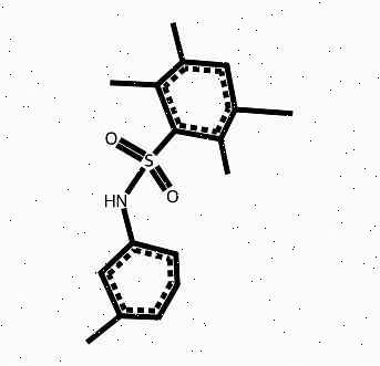 Cc1[c]c(NS(=O)(=O)c2c(C)c(C)cc(C)c2C)ccc1